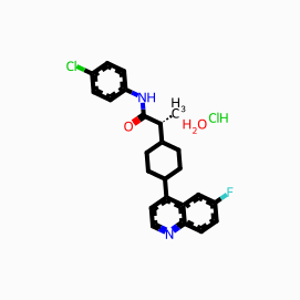 C[C@@H](C(=O)Nc1ccc(Cl)cc1)C1CCC(c2ccnc3ccc(F)cc23)CC1.Cl.O